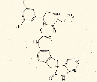 CCC1NCC(c2cc(F)cc(F)c2)N(CC(=O)Nc2ccc3c(c2)CC2(C3)C(=O)Nc3ncccc32)C1=O